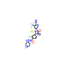 CN1CCC(NC(=O)c2ccc(N3C(S)N(c4cnc(C#N)c(C(F)(F)F)c4)C(=O)C34CCC4)cc2F)CC1